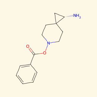 N[C@H]1CC12CCN(OC(=O)c1ccccc1)CC2